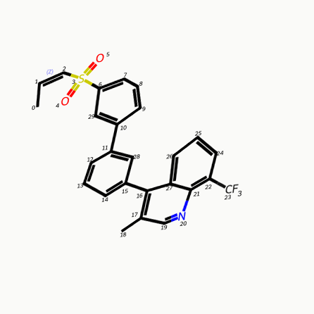 C/C=C\S(=O)(=O)c1cccc(-c2cccc(-c3c(C)cnc4c(C(F)(F)F)cccc34)c2)c1